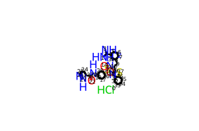 Cl.N=C(N)c1cccc(CC(NS(=O)(=O)c2cccc(NC(=O)c3ccn[nH]3)c2)c2nc3ccccc3s2)c1